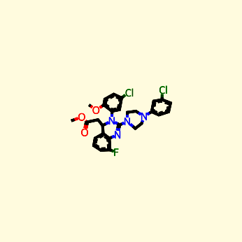 COC(=O)CC1c2cccc(F)c2N=C(N2CCN(c3cccc(Cl)c3)CC2)N1c1cc(Cl)ccc1OC